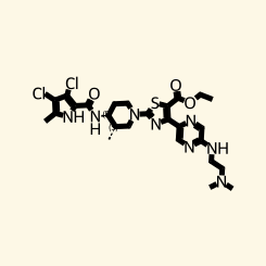 CCOC(=O)c1sc(N2CC[C@@H](NC(=O)c3[nH]c(C)c(Cl)c3Cl)[C@@H](C)C2)nc1-c1cnc(NCCN(C)C)cn1